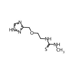 CNC(=S)NCCOCc1nc[nH]n1